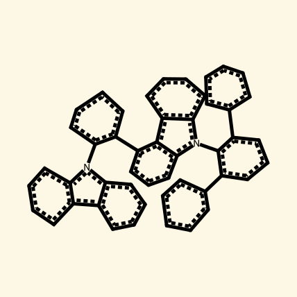 c1ccc(-c2cccc(-c3ccccc3)c2-n2c3ccccc3c3c(-c4ccccc4-n4c5ccccc5c5ccccc54)cccc32)cc1